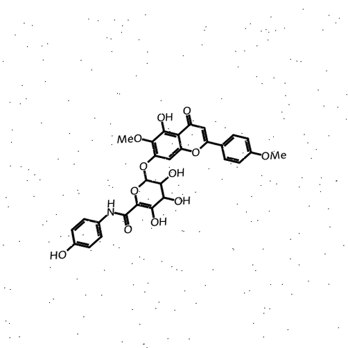 COc1ccc(-c2cc(=O)c3c(O)c(OC)c(OC4OC(C(=O)Nc5ccc(O)cc5)=C(O)C(O)C4O)cc3o2)cc1